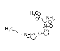 CCCCCCNCc1ccc(COc2cccc3c2CN(C(CCC(=O)OC)C(N)=O)C3=O)cc1